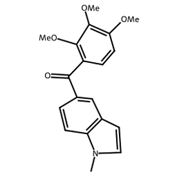 COc1ccc(C(=O)c2ccc3c(ccn3C)c2)c(OC)c1OC